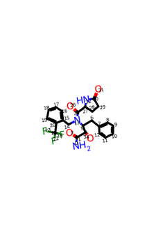 NC(=O)C(=O)C(Cc1ccccc1)N(Cc1ccccc1C(F)(F)F)C(=O)C1CCC(=O)N1